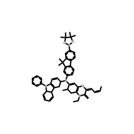 C=C1/C(=C\C=C/C)OC2=C(CC(C)C(N(c3ccc4c(c3)C(C)(C)c3cc(B5OC(C)(C)C(C)(C)O5)ccc3-4)C3C=CC4=C(C3)C3C=CC=CC3N4c3ccccc3)=C2)N1CC